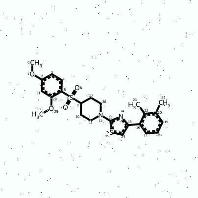 COc1ccc(S(=O)(=O)C2CCN(c3nc(-c4cccc(C)c4C)cs3)CC2)c(OC)c1